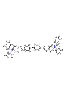 C1=CC(/C=C/c2ccc(N(c3ccccc3)c3ccccc3)cc2)CC=C1c1ccc(/C=C/C2C=CC(N(c3ccccc3)c3ccccc3)=CC2)cc1